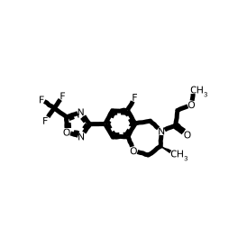 COCC(=O)N1Cc2c(F)cc(-c3noc(C(F)(F)F)n3)cc2OC[C@@H]1C